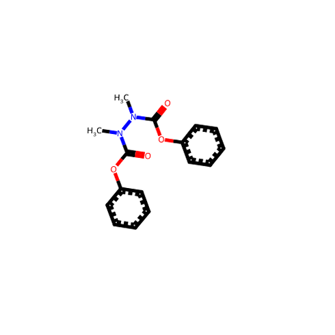 CN(C(=O)Oc1ccccc1)N(C)C(=O)Oc1ccccc1